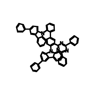 c1ccc(-c2ccc3c(c2)c2ccccc2n3-c2ccccc2-c2ccc(-n3c4ccccc4c4cc(-c5ccccc5)ccc43)c(-c3nc(-c4ccccc4)nc(-c4ccccc4)n3)c2)cc1